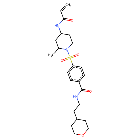 C=CC(=O)NC1CCN(S(=O)(=O)c2ccc(C(=O)NCCC3CCOCC3)cc2)C(C)C1